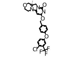 C[C@@]12COCCN1c1cc(OCc3ccc(Oc4ccc(Cl)c(C(F)(F)F)c4)cc3)nc(=O)n1C2